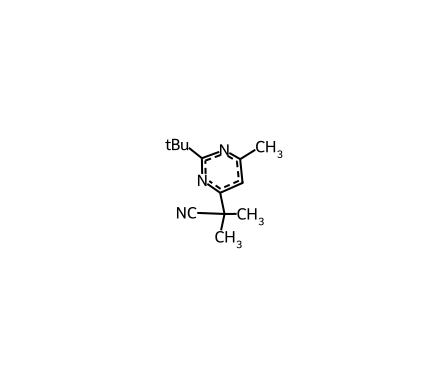 Cc1cc(C(C)(C)C#N)nc(C(C)(C)C)n1